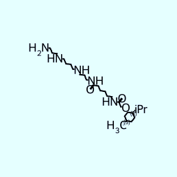 CC(C)[C@H]1CC[C@H](C)CC1OCC(=O)NCCCCCC(=O)NCCCNCCCCNCCCN